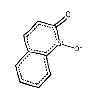 O=c1ccc2ccccc2[s+]1[O-]